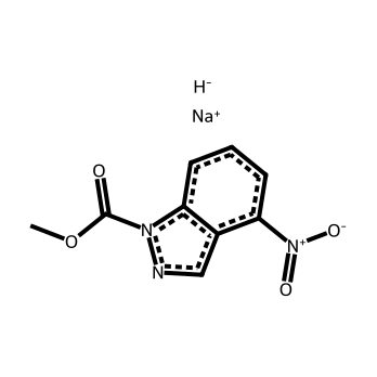 COC(=O)n1ncc2c([N+](=O)[O-])cccc21.[H-].[Na+]